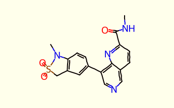 CNC(=O)c1ccc2cncc(-c3ccc4c(c3)CS(=O)(=O)N4C)c2n1